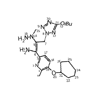 Cc1nc(/C(N)=C(\Cn2nnc(OCC(C)C)n2)N(C)N)ccc1OC1CCCCC1